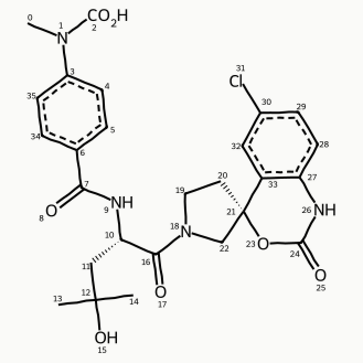 CN(C(=O)O)c1ccc(C(=O)N[C@@H](CC(C)(C)O)C(=O)N2CC[C@@]3(C2)OC(=O)Nc2ccc(Cl)cc23)cc1